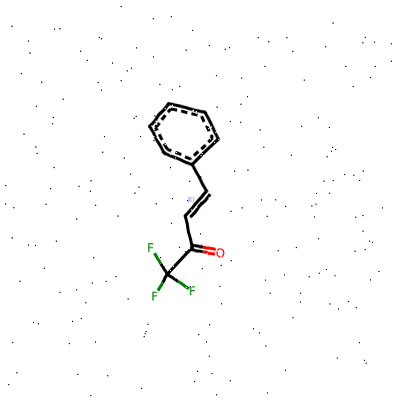 O=C(/C=C/c1ccccc1)C(F)(F)F